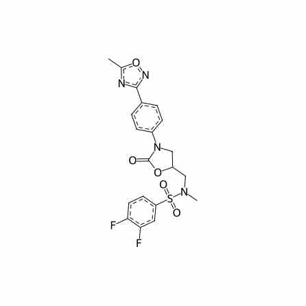 Cc1nc(-c2ccc(N3CC(CN(C)S(=O)(=O)c4ccc(F)c(F)c4)OC3=O)cc2)no1